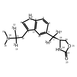 [2H]C([2H])(c1ccc2[nH]cc(CC([2H])([2H])N(C)C)c2c1)[C@H]1COC(=O)N1